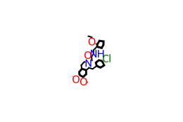 CCOc1ccccc1CNC(=O)CN1CCc2cc(OC)c(OC)cc2C1Cc1ccc(Cl)cc1